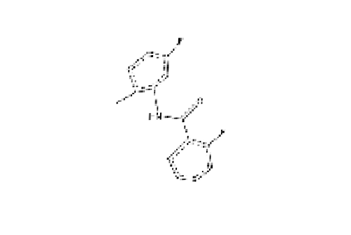 Cc1ccc(F)cc1NC(=O)c1ccccc1F